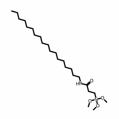 CCCCCCCCCCCCCCCCCCNC(=O)CC[Si](OC)(OC)OC